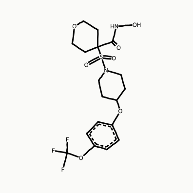 O=C(NO)C1(S(=O)(=O)N2CCC(Oc3ccc(OC(F)(F)F)cc3)CC2)CCOCC1